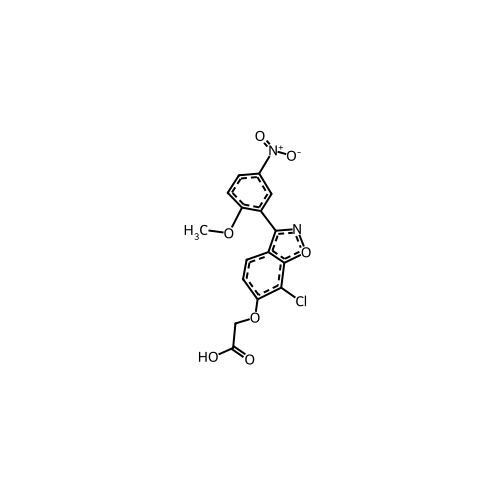 COc1ccc([N+](=O)[O-])cc1-c1noc2c(Cl)c(OCC(=O)O)ccc12